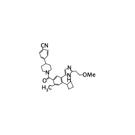 COCCc1ncc(-c2cc(C(=O)N3CCC(c4ccc(C#N)cc4)CC3)c(C)cc2C2CCC2)[nH]1